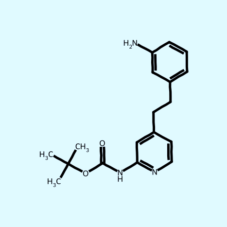 CC(C)(C)OC(=O)Nc1cc(CCc2cccc(N)c2)ccn1